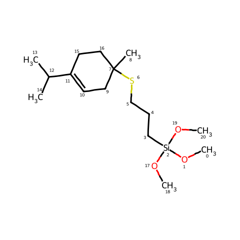 CO[Si](CCCSC1(C)CC=C(C(C)C)CC1)(OC)OC